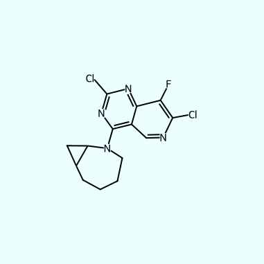 Fc1c(Cl)ncc2c(N3CCCCC4CC43)nc(Cl)nc12